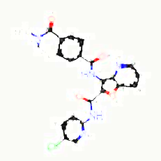 CN(C)C(=O)c1ccc(C(=O)Nc2c(C(=O)Nc3ccc(Cl)cn3)oc3cccnc23)cc1